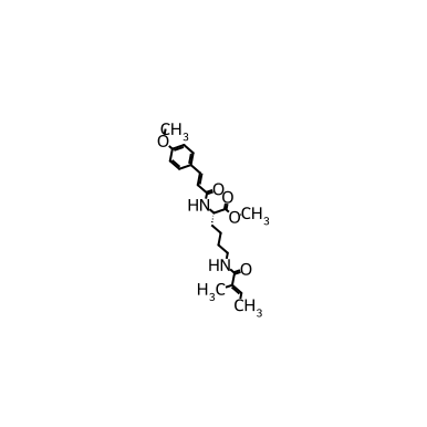 C/C=C(\C)C(=O)NCCCC[C@H](NC(=O)/C=C/c1ccc(OC)cc1)C(=O)OC